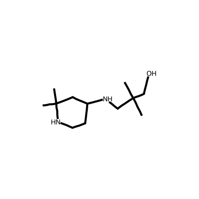 CC(C)(CO)CNC1CCNC(C)(C)C1